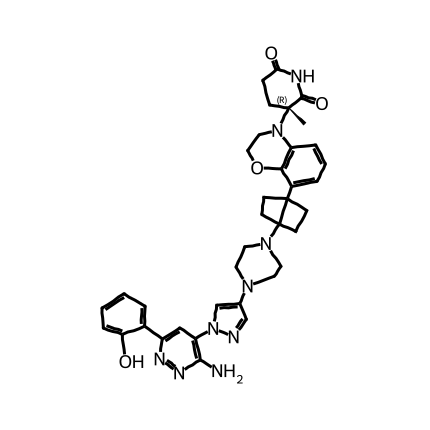 C[C@@]1(N2CCOc3c2cccc3C23CCC2(N2CCN(c4cnn(-c5cc(-c6ccccc6O)nnc5N)c4)CC2)CC3)CCC(=O)NC1=O